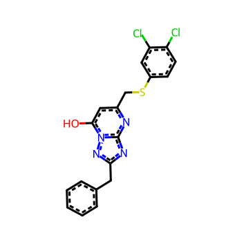 Oc1cc(CSc2ccc(Cl)c(Cl)c2)nc2nc(Cc3ccccc3)nn12